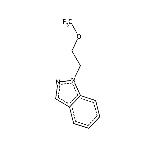 FC(F)(F)OCCn1ncc2ccccc21